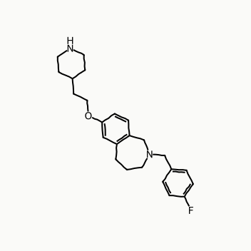 Fc1ccc(CN2CCCc3cc(OCCC4CCNCC4)ccc3C2)cc1